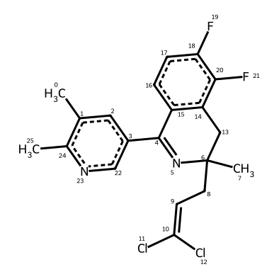 Cc1cc(C2=NC(C)(CC=C(Cl)Cl)Cc3c2ccc(F)c3F)cnc1C